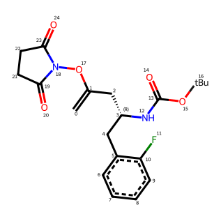 C=C(C[C@@H](Cc1ccccc1F)NC(=O)OC(C)(C)C)ON1C(=O)CCC1=O